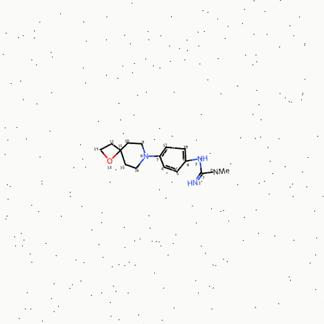 CNC(=N)Nc1ccc(N2CCC3(CCO3)CC2)cc1